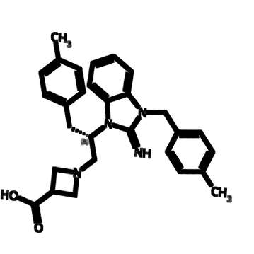 Cc1ccc(C[C@@H](CN2CC(C(=O)O)C2)n2c(=N)n(Cc3ccc(C)cc3)c3ccccc32)cc1